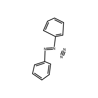 N#N.c1ccc(N=Nc2ccccc2)cc1